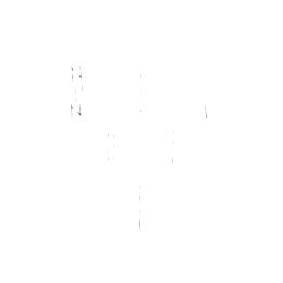 Ic1cc(I)c2ccnnc2c1